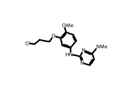 CNc1ccnc(Nc2ccc(OC)c(OCCCCl)c2)n1